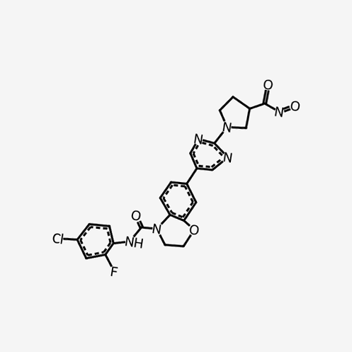 O=NC(=O)C1CCN(c2ncc(-c3ccc4c(c3)OCCN4C(=O)Nc3ccc(Cl)cc3F)cn2)C1